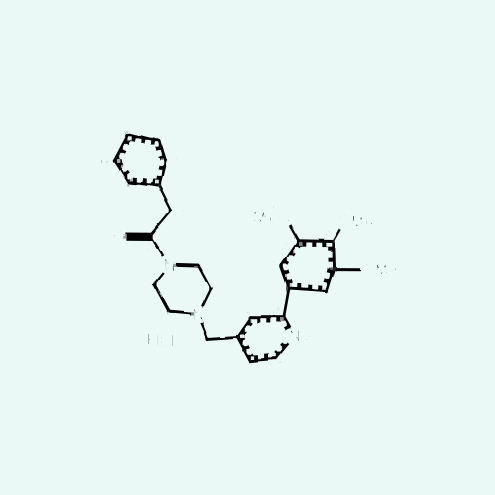 COc1cc(-c2cc(CN3CCN(C(=O)Cc4ccccc4)CC3)ccn2)cc(OC)c1OC.Cl